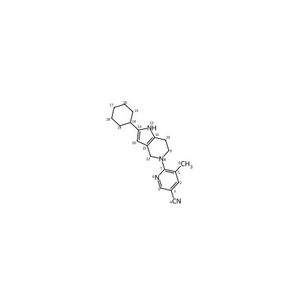 Cc1cc(C#N)cnc1N1CCc2[nH]c(C3CCCCC3)cc2C1